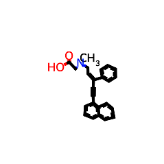 CN(CC=C(C#Cc1cccc2ccccc12)c1ccccc1)CC(=O)O